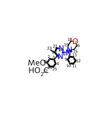 COc1cc(-c2nc(N(c3ccccc3)N3CCOCC3)ncc2C)ccc1C(=O)O